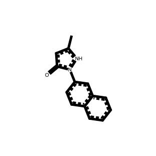 Cc1cc(=O)n(-c2ccc3ccccc3c2)[nH]1